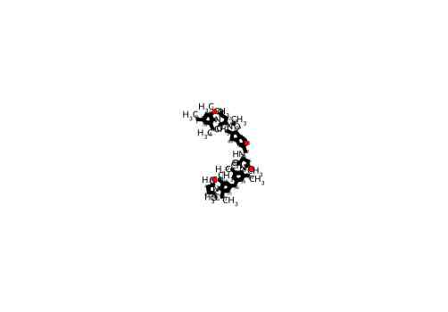 CCc1cc(C(C)C)c(N2C(=O)CC(N(CC3CC4C5CC(CNC6CC(=O)N(c7c(C(C)C)cc(Cc8cc(C(C)C)c(N9C(=O)C=CC9=O)c(C(C)C)c8)cc7C(C)C)C6=O)C(C5)C4C3)C(C)=O)C2=O)c(C(C)C)c1